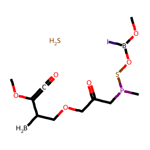 BC(COCC(=O)CP(C)SOB(I)OC)C(=C=O)OC.S